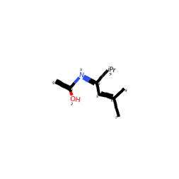 C=C(O)/N=C(\C=C(C)C)C(C)C